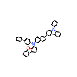 c1ccc(-c2ccc(N(c3ccc4cc(-c5ccc6c(c5)c5ccccc5n6-c5ccccc5)ccc4c3)c3cccc4c3oc3ccccc34)cc2)cc1